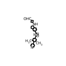 Cc1cc(-c2nc(-c3ccc4c(c3)CCC4N[C@H]3C[C@H](C=O)C3)no2)cc(C)c1-c1ccncc1